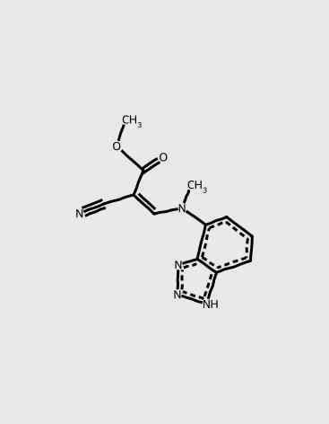 COC(=O)C(C#N)=CN(C)c1cccc2[nH]nnc12